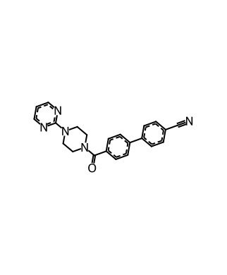 N#Cc1ccc(-c2ccc(C(=O)N3CCN(c4ncccn4)CC3)cc2)cc1